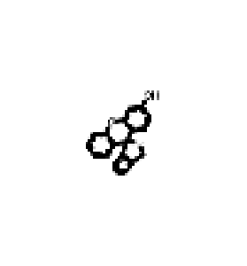 Oc1ccc2c(c1)Oc1ccccc1C21OCc2ccccc21